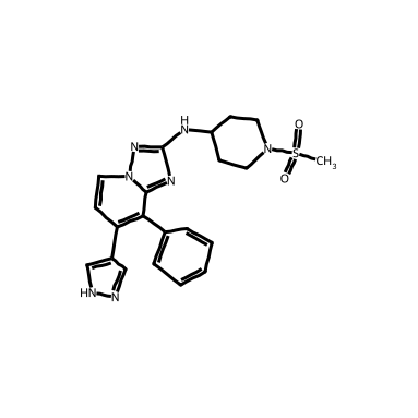 CS(=O)(=O)N1CCC(Nc2nc3c(-c4ccccc4)c(-c4cn[nH]c4)ccn3n2)CC1